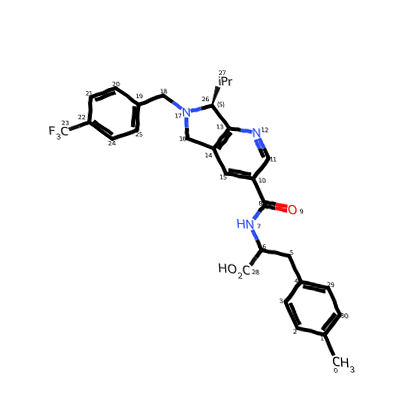 Cc1ccc(CC(NC(=O)c2cnc3c(c2)CN(Cc2ccc(C(F)(F)F)cc2)[C@H]3C(C)C)C(=O)O)cc1